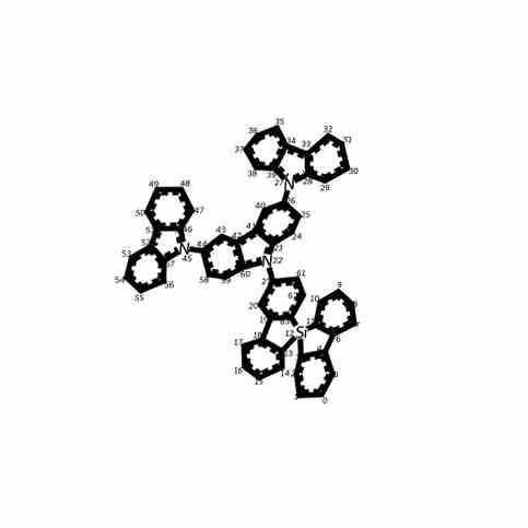 c1ccc2c(c1)-c1ccccc1[Si]21c2ccccc2-c2cc(-n3c4ccc(-n5c6ccccc6c6ccccc65)cc4c4cc(-n5c6ccccc6c6ccccc65)ccc43)ccc21